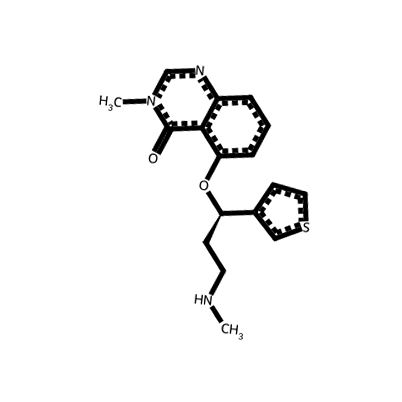 CNCC[C@@H](Oc1cccc2ncn(C)c(=O)c12)c1ccsc1